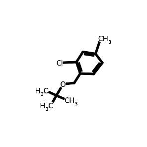 Cc1ccc(COC(C)(C)C)c(Cl)c1